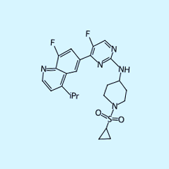 CC(C)c1ccnc2c(F)cc(-c3nc(NC4CCN(S(=O)(=O)C5CC5)CC4)ncc3F)cc12